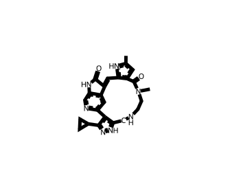 Cc1cc2c([nH]1)/C=C1\C(=O)Nc3cnc(cc31)-c1c(C3CC3)n[nH]c1CNCCN(C)C2=O